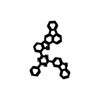 C1=C(c2nc(-c3ccccc3)nc(-c3ccc4sc5ccccc5c4c3)n2)c2oc3c(cc4c5c(cccc53)-c3ccccc3-4)c2CC1